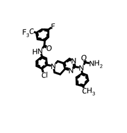 Cc1ccc(N(C(N)=O)c2ncc3c(n2)CCN(c2cc(NC(=O)c4cc(F)cc(C(F)(F)F)c4)ccc2Cl)C3)cc1